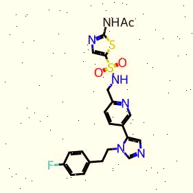 CC(=O)Nc1ncc(S(=O)(=O)NCc2ccc(-c3cncn3CCc3ccc(F)cc3)cn2)s1